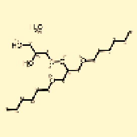 CCCCCCOCC(COCCCCCC)OOCC(O)CO.O